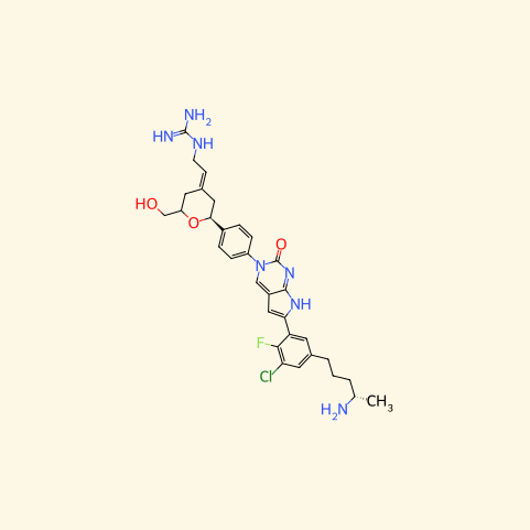 C[C@H](N)CCCc1cc(Cl)c(F)c(-c2cc3cn(-c4ccc([C@@H]5C/C(=C/CNC(=N)N)CC(CO)O5)cc4)c(=O)nc3[nH]2)c1